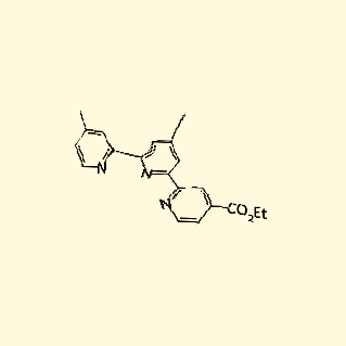 CCOC(=O)c1ccnc(-c2cc(C)cc(-c3cc(C)ccn3)n2)c1